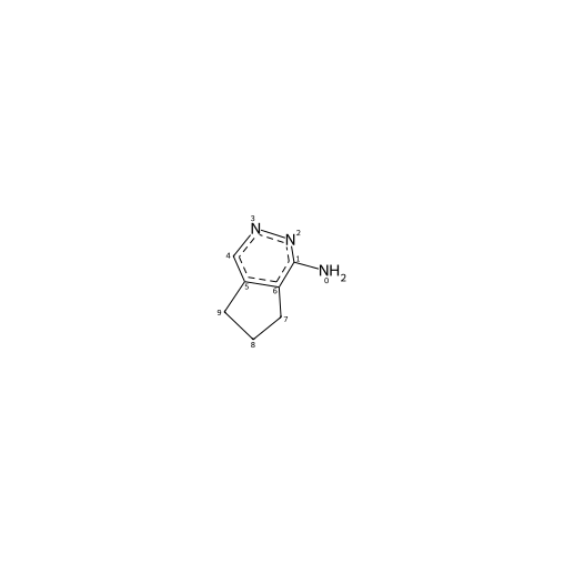 Nc1nncc2c1CCC2